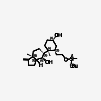 C=C1CC[C@H]2[C@H](O)[C@@H]([C@@]3(C)CC[C@H](O)C[C@@H]3CCO[Si](C)(C)C(C)(C)C)CC[C@]12C